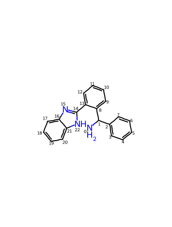 NC(c1ccccc1)c1ccccc1-c1nc2ccccc2[nH]1